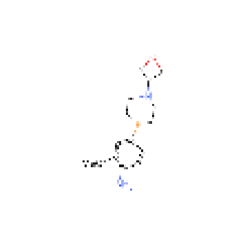 COc1cc(P2CCN(C3COC3)CC2)ccc1N